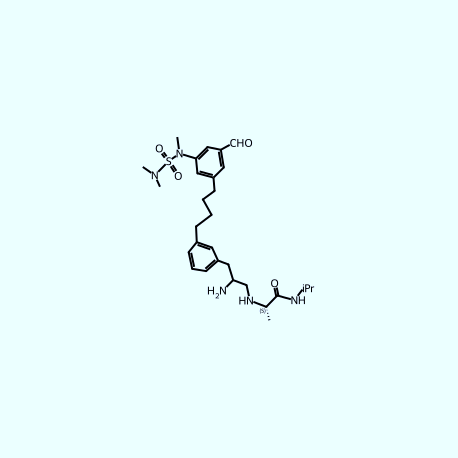 CC(C)NC(=O)[C@H](C)NCC(N)Cc1cccc(CCCCc2cc(C=O)cc(N(C)S(=O)(=O)N(C)C)c2)c1